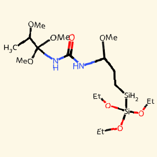 CCO[Si](OCC)(OCC)[SiH2]CCC(NC(=O)NC(OC)(OC)C(C)OC)OC